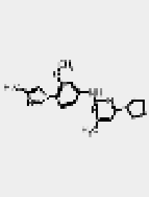 COc1cc(Nc2nc(C)cc(N3CCCC3)n2)ccc1-n1cnc(C)c1